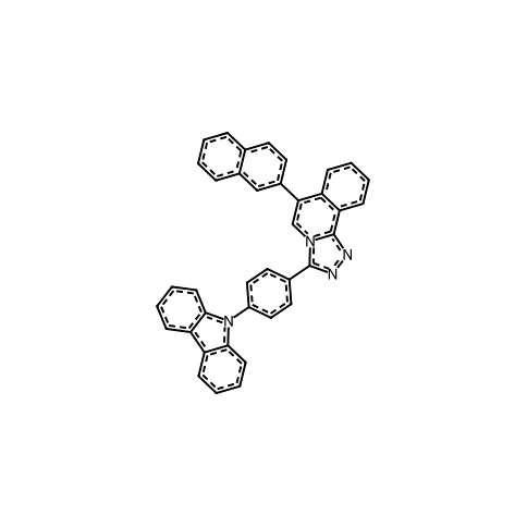 c1ccc2cc(-c3cn4c(-c5ccc(-n6c7ccccc7c7ccccc76)cc5)nnc4c4ccccc34)ccc2c1